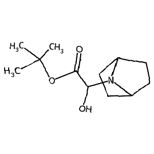 CC(C)(C)OC(=O)C(O)N1C2CCC1CC2